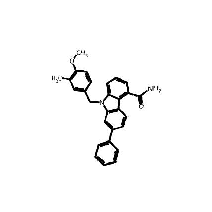 COc1ccc(Cn2c3cc(-c4ccccc4)c[c]c3c3c(C(N)=O)cccc32)cc1C